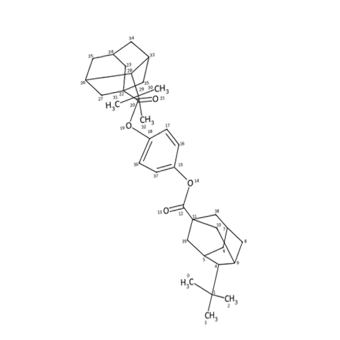 CC(C)(C)C1C2CC3CC1CC(C(=O)Oc1ccc(OC(=O)C45CC6CC(C4)C(C(C)(C)C)C(C6)C5)cc1)(C3)C2